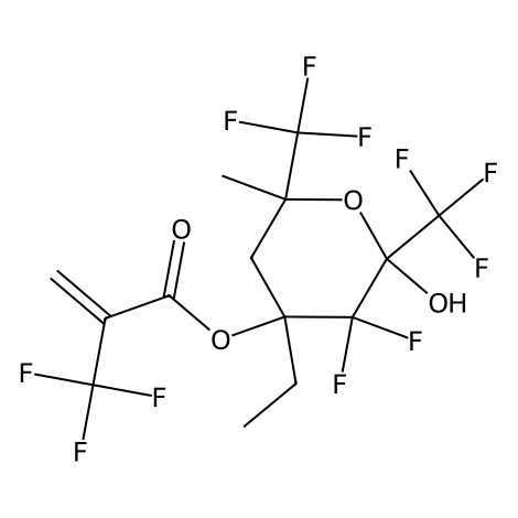 C=C(C(=O)OC1(CC)CC(C)(C(F)(F)F)OC(O)(C(F)(F)F)C1(F)F)C(F)(F)F